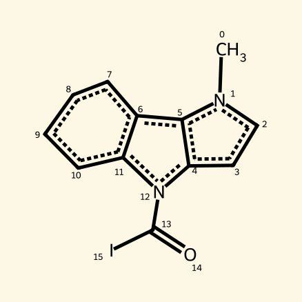 Cn1ccc2c1c1ccccc1n2C(=O)I